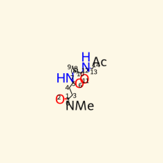 CNC(=O)CCC(=O)N[C@@H](C)C(=O)NCC(C)=O